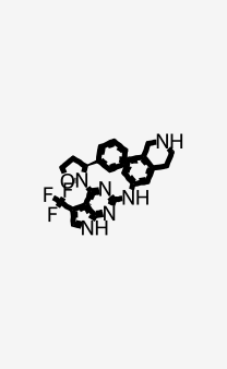 FC(F)(F)c1c[nH]c2nc(Nc3ccc4c(c3)CCNC4)nc(N3OCC[C@H]3c3ccccc3)c12